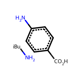 Nc1ccc(C(=O)O)cc1.[CH2]CC(C)N